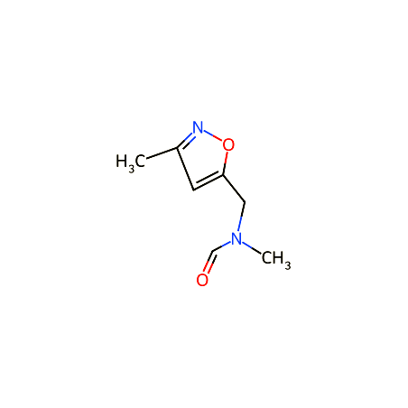 Cc1cc(CN(C)C=O)on1